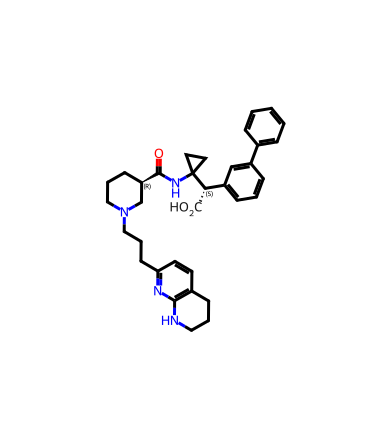 O=C(NC1([C@@H](C(=O)O)c2cccc(-c3ccccc3)c2)CC1)[C@@H]1CCCN(CCCc2ccc3c(n2)NCCC3)C1